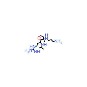 CCC(C)(NCCCN)C(=O)C(CCNC(=N)N)NC(C)C